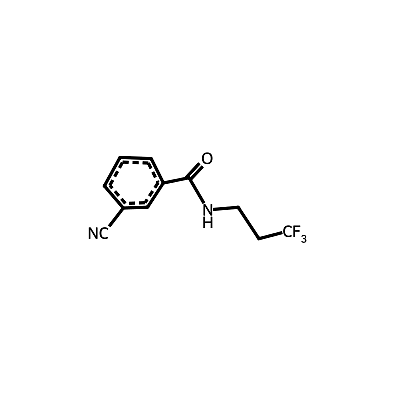 N#Cc1cccc(C(=O)NCCC(F)(F)F)c1